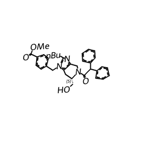 CCCCc1nc2c(n1Cc1ccc(C(=O)OC)cc1)C[C@@H](CO)N(C(=O)C(c1ccccc1)c1ccccc1)C2